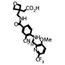 COc1ccc(C(F)(F)F)nc1[C@H](C)Nc1ccc(C(=O)NCC2(CC(=O)O)COC2)cc1C#N